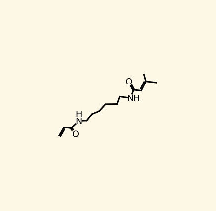 C=CC(=O)NCCCCCCNC(=O)C=C(C)C